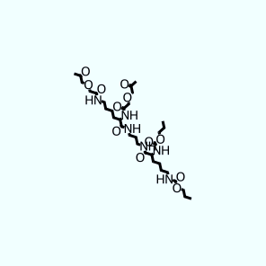 CCCOC(=O)NCCCCC(NC(=O)OCCC)C(=O)NCCCNC(=O)C(CCCCNC(=O)COCC(C)=O)NC(=O)COCC(C)=O